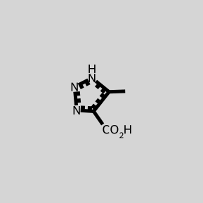 Cc1[nH]nnc1C(=O)O